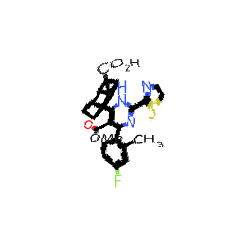 COC(=O)C1=C(C23C4CC2C2C5(C(=O)O)C4C235)NC(c2nccs2)=NC1c1ccc(F)cc1C